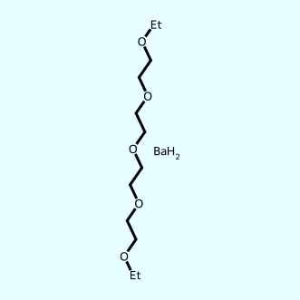 CCOCCOCCOCCOCCOCC.[BaH2]